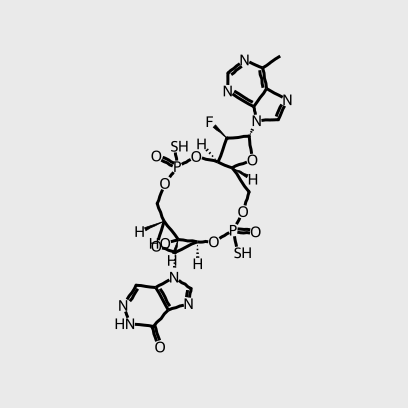 Cc1ncnc2c1ncn2[C@@H]1O[C@@H]2COP(=O)(S)O[C@@H]3[C@H](O)[C@@H](COP(=O)(S)O[C@H]2[C@H]1F)O[C@H]3n1cnc2c(=O)[nH]ncc21